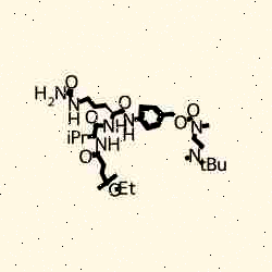 CCOC(C)(C)CCC(=O)NC(C(=O)N[C@@H](CCCNC(N)=O)C(=O)Nc1ccc(COC(=O)N(C)CCN(C)C(C)(C)C)cc1)C(C)C